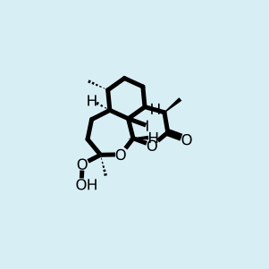 C[C@@H]1CC[C@H]2[C@@H](C)C(=O)O[C@@H]3O[C@@](C)(OO)CC[C@@H]1C32I